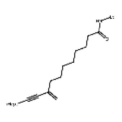 C=C(C#CCCCCCCC)CCCCCCCC(=O)NCC